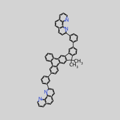 CC1(C)c2ccc(-c3cccc(-c4ccc5ccc6cccnc6c5n4)c3)cc2-c2cc3c4ccccc4c4cc(-c5cccc(-c6ccc7ccc8cccnc8c7n6)c5)ccc4c3cc21